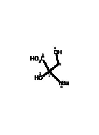 CCCCC(O)([CH]O)C(=O)O